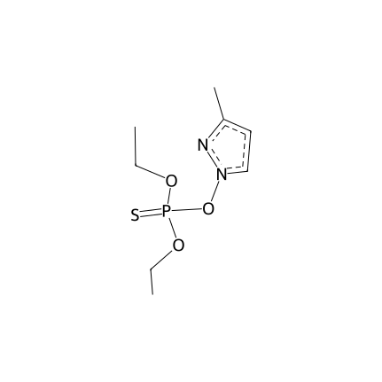 CCOP(=S)(OCC)On1ccc(C)n1